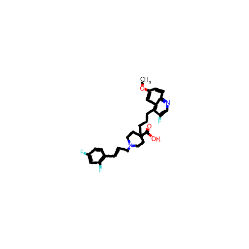 COc1ccc2ncc(F)c(CCCC3(C(=O)O)CCN(C/C=C/c4ccc(F)cc4F)CC3)c2c1